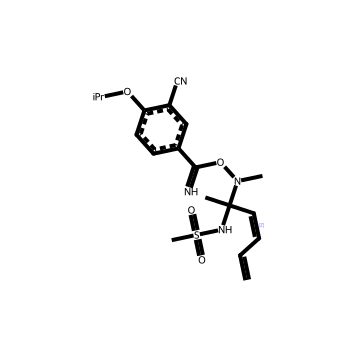 C=C/C=C\C(C)(NS(C)(=O)=O)N(C)OC(=N)c1ccc(OC(C)C)c(C#N)c1